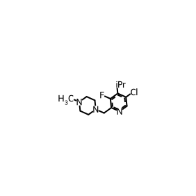 CC(C)c1c(Cl)cnc(CN2CCN(C)CC2)c1F